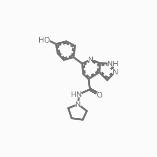 O=C(NN1CCCC1)c1cc(-c2ccc(O)cc2)nc2[nH]ncc12